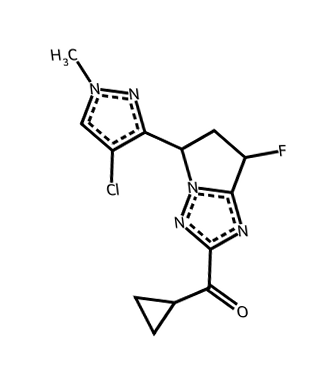 Cn1cc(Cl)c(C2CC(F)c3nc(C(=O)C4CC4)nn32)n1